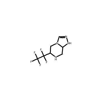 FC(F)(F)C(F)(F)C1CN2C=NNC2[C]N1